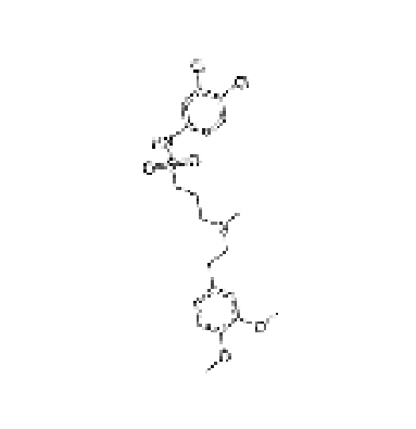 COc1ccc(CCN(C)CCCS(=O)(=O)Nc2ccc(Cl)c(Cl)c2)cc1OC